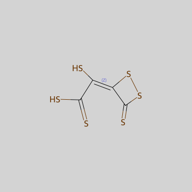 S=C(S)/C(S)=C1/SSC1=S